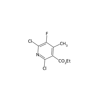 CCOC(=O)c1c(Cl)nc(Cl)c(F)c1C